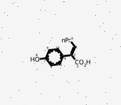 CCC/C=C(/C(=O)O)c1ccc(O)cc1